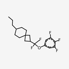 CCCC1CCC2(CC1)CC(C(F)(F)Oc1cc(F)c(F)c(F)c1)C2